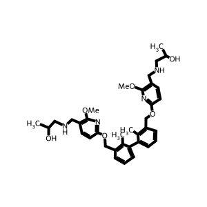 COc1nc(OCc2cccc(-c3cccc(COc4ccc(CNCC(C)O)c(OC)n4)c3C)c2C)ccc1CNCC(C)O